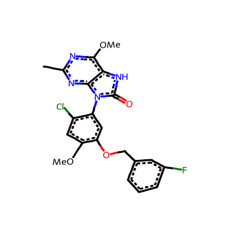 COc1cc(Cl)c(-n2c(=O)[nH]c3c(OC)nc(C)nc32)cc1OCc1cccc(F)c1